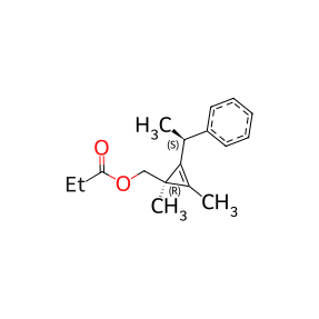 CCC(=O)OC[C@]1(C)C(C)=C1[C@@H](C)c1ccccc1